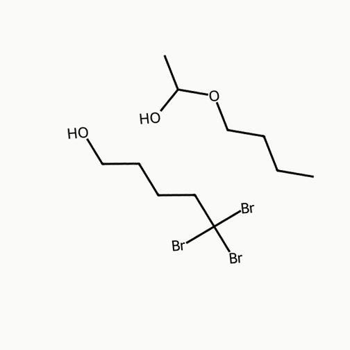 CCCCOC(C)O.OCCCCC(Br)(Br)Br